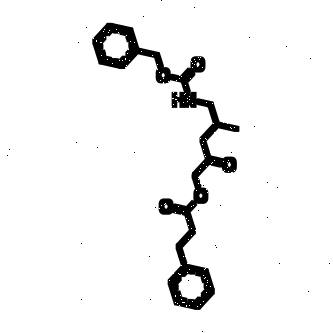 CC(CNC(=O)OCc1ccccc1)CC(=O)COC(=O)CCc1ccccc1